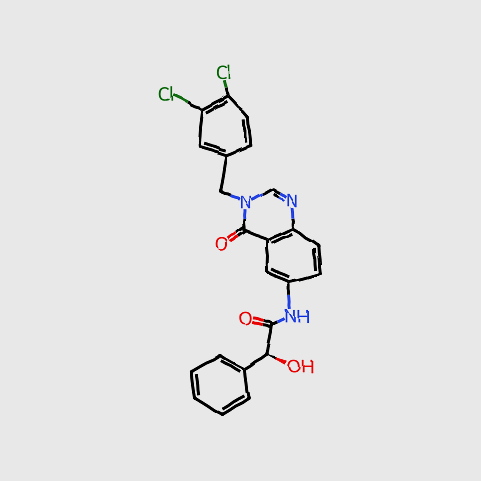 O=C(Nc1ccc2ncn(Cc3ccc(Cl)c(Cl)c3)c(=O)c2c1)[C@@H](O)c1ccccc1